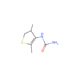 CC1=C(NC(N)=O)C(C)CS1